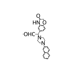 O=[C]C(c1ccc2c(c1)NC(=O)CO2)N1CCN(c2ccc3ccccc3c2)CC1